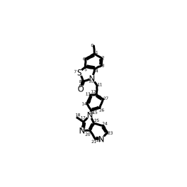 Cc1ccc2c(c1)sc(=O)n2Cc1ccc(-n2c(C)nc3cnccc32)cc1